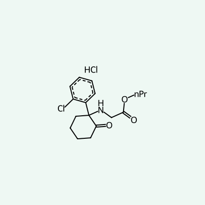 CCCOC(=O)CNC1(c2ccccc2Cl)CCCCC1=O.Cl